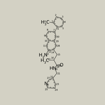 Cc1ccccc1-c1ccc2cc(N)c(CC(C)C(=O)NCc3cccnc3)cc2c1